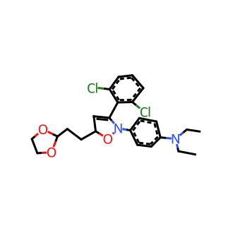 CCN(CC)c1ccc(N2OC(CCC3OCCO3)C=C2c2c(Cl)cccc2Cl)cc1